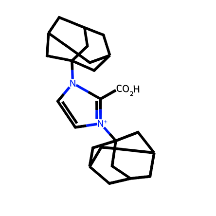 O=C(O)c1n(C23CC4CC(CC(C4)C2)C3)cc[n+]1C12CC3CC(CC(C3)C1)C2